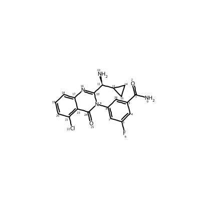 NC(=O)c1cc(F)cc(-n2c([C@@H](N)C3CC3)nc3cccc(Cl)c3c2=O)c1